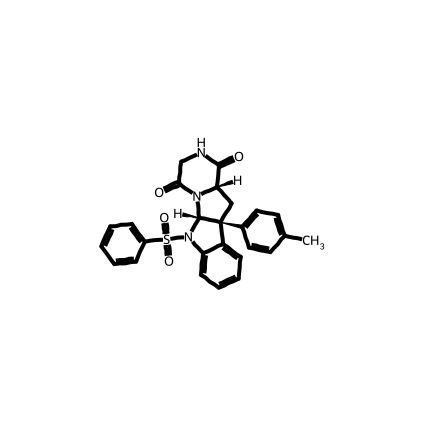 Cc1ccc([C@]23C[C@H]4C(=O)NCC(=O)N4[C@H]2N(S(=O)(=O)c2ccccc2)c2ccccc23)cc1